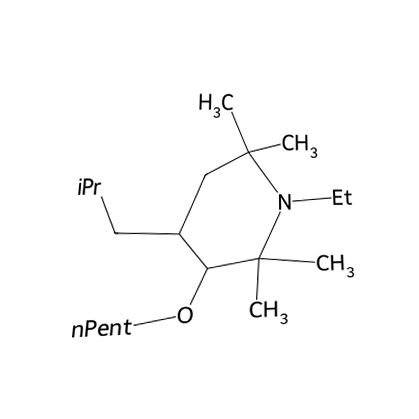 CCCCCOC1C(CC(C)C)CC(C)(C)N(CC)C1(C)C